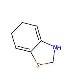 C1=C2NCSC2=CCC1